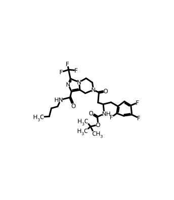 CCCCNC(=O)c1nc(C(F)(F)F)n2c1CN(C(=O)CC(Cc1cc(F)c(F)cc1F)NC(=O)OC(C)(C)C)CC2